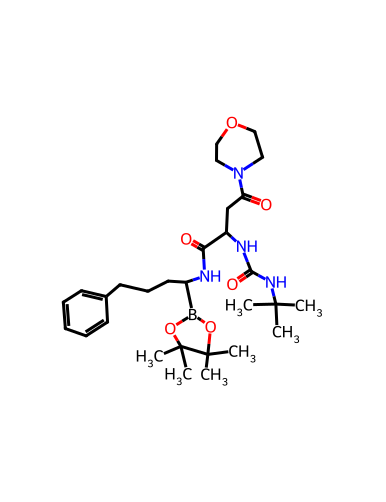 CC(C)(C)NC(=O)NC(CC(=O)N1CCOCC1)C(=O)NC(CCCc1ccccc1)B1OC(C)(C)C(C)(C)O1